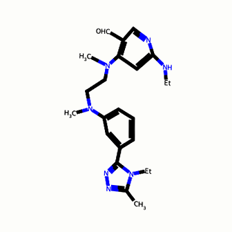 CCNc1cc(N(C)CCN(C)c2cccc(-c3nnc(C)n3CC)c2)c(C=O)cn1